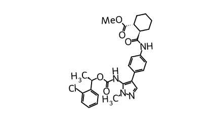 COC(=O)[C@@H]1CCCC[C@H]1C(=O)Nc1ccc(-c2cnn(C)c2NC(=O)O[C@H](C)c2ccccc2Cl)cc1